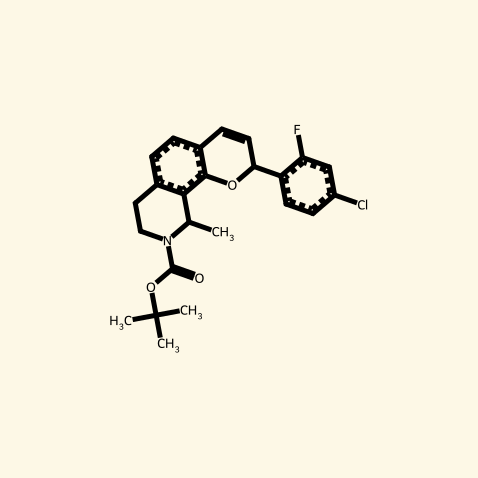 CC1c2c(ccc3c2OC(c2ccc(Cl)cc2F)C=C3)CCN1C(=O)OC(C)(C)C